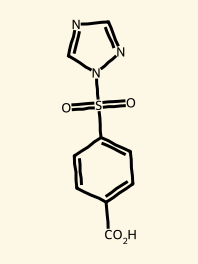 O=C(O)c1ccc(S(=O)(=O)n2cncn2)cc1